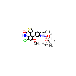 COc1cc(Cl)c2[nH]c(=O)c3sccc3c2c1-c1ccc(CC(C)NC(=O)OC(C)(C)C)cc1